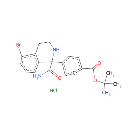 CC(C)(C)OC(=O)c1ccc(C2(C(N)=O)NCCc3c(Br)cccc32)cc1.Cl